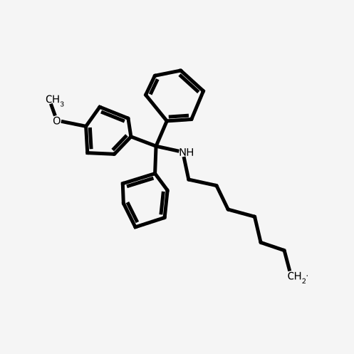 [CH2]CCCCCCNC(c1ccccc1)(c1ccccc1)c1ccc(OC)cc1